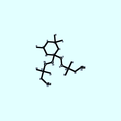 CC1CC(C)(C)CC(OOC(C)(C)CC(C)(C)C)(OOC(C)(C)CC(C)(C)C)C1